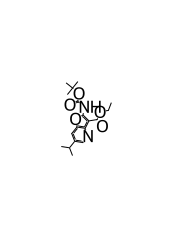 CCOC(=O)c1c(NC(=O)OC(C)(C)C)oc2cc(C(C)C)cnc12